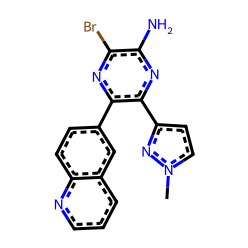 Cn1ccc(-c2nc(N)c(Br)nc2-c2ccc3ncccc3c2)n1